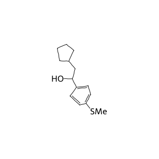 CSc1ccc(C(O)CC2CCCC2)cc1